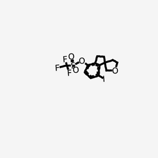 O=S(=O)(Oc1ccc(I)c2c1CCC21CCOC1)C(F)(F)F